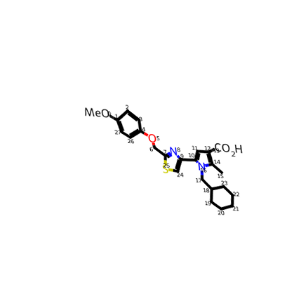 COc1ccc(OCc2nc(-c3cc(C(=O)O)c(C)n3CC3CCCCC3)cs2)cc1